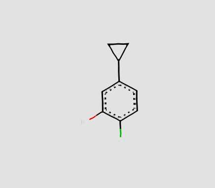 Oc1cc(C2CC2)ccc1Cl